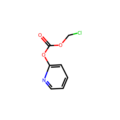 O=C(OCCl)Oc1ccccn1